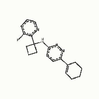 Fc1cccnc1C1(Nc2ccc(C3=CCCCC3)nn2)CCC1